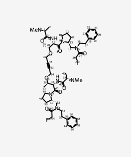 CN[C@@H](C)C(=O)N[C@H](C(=O)N1CCC[C@H]1CN(CCc1ccccc1)C(=O)CF)[C@@H](C)OCC#CCO[C@H](C)[C@H](NC(=O)[C@H](C)NC)C(=O)N1CCC[C@H]1CN(CCc1ccccc1)C(=O)CF